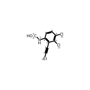 CCC#Cc1c(NC(=O)O)ccc(Cl)c1Cl